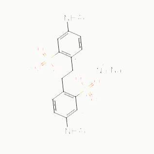 CC(=O)Nc1ccc(CCc2ccc(NC(C)=O)cc2S(=O)(=O)[O-])c(S(=O)(=O)[O-])c1.[Na+].[Na+]